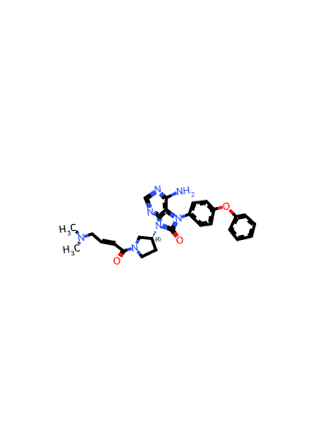 CN(C)CC=CC(=O)N1CC[C@@H](n2c(=O)n(-c3ccc(Oc4ccccc4)cc3)c3c(N)ncnc32)C1